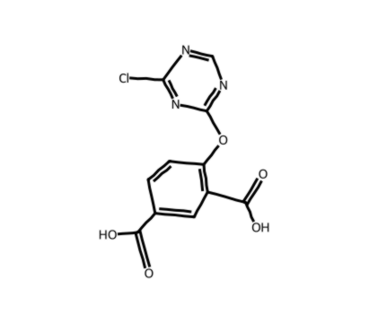 O=C(O)c1ccc(Oc2ncnc(Cl)n2)c(C(=O)O)c1